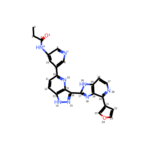 CCC(=O)Nc1cncc(-c2ccc3[nH]nc(-c4nc5c(-c6ccoc6)nccc5[nH]4)c3n2)c1